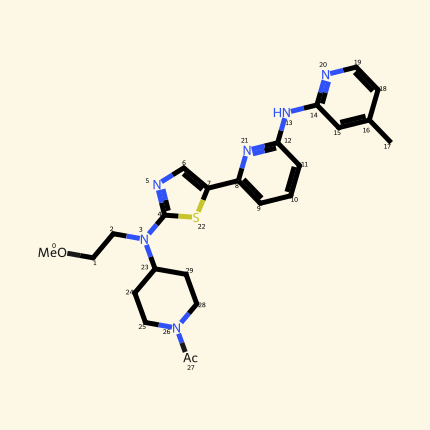 COCCN(c1ncc(-c2cccc(Nc3cc(C)ccn3)n2)s1)C1CCN(C(C)=O)CC1